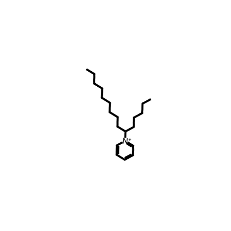 CCCCCCCCCC(CCCCC)[n+]1ccccc1